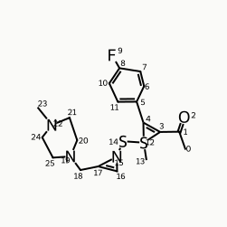 CC(=O)C1=C(c2ccc(F)cc2)S1(C)SN1C=C1CN1CCN(C)CC1